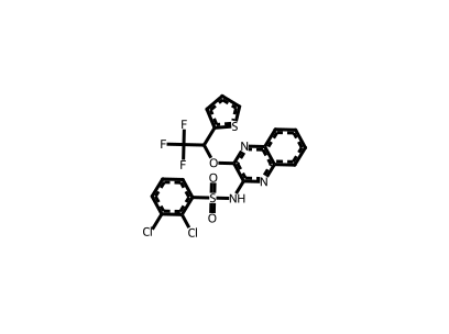 O=S(=O)(Nc1nc2ccccc2nc1OC(c1cccs1)C(F)(F)F)c1cccc(Cl)c1Cl